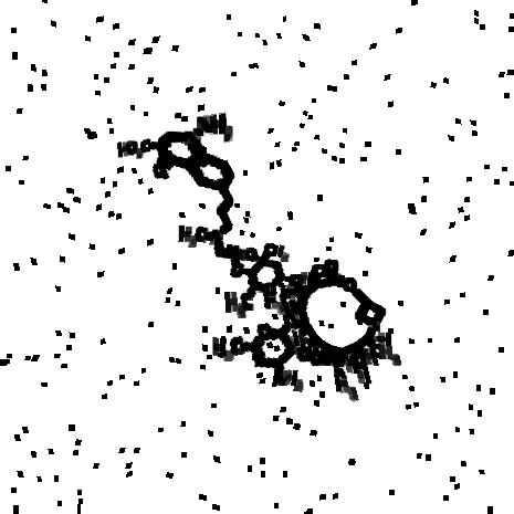 CO[C@]1(C)C[C@H](O[C@H]2[C@H](C)[C@@H](O[C@@H]3O[C@H](C)C[C@H](N)[C@H]3O)[C@@](C)(OC)C[C@@H](C)[C@H](O)[C@H](C)N3CC(C3)OC(=O)[C@@H]2C)O[C@@H](C)[C@@H]1OCCN(C)CCCc1ccc2c(c1)c(=O)c(C(=O)O)cn2N